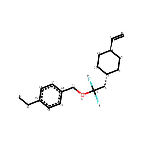 C=C[C@H]1CC[C@H](CC(F)(F)OCc2ccc(CC)cc2)CC1